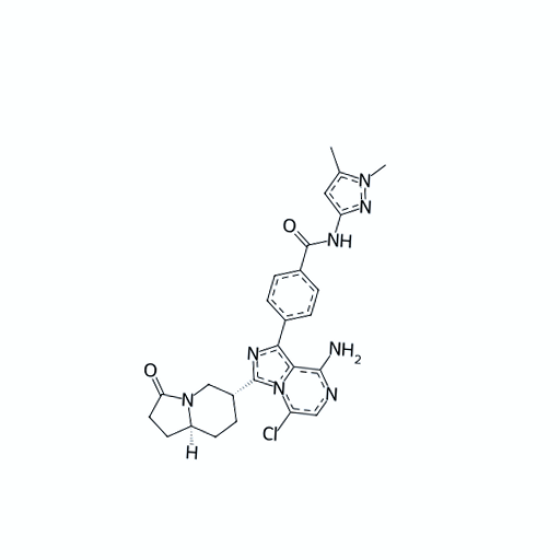 Cc1cc(NC(=O)c2ccc(-c3nc([C@@H]4CC[C@H]5CCC(=O)N5C4)n4c(Cl)cnc(N)c34)cc2)nn1C